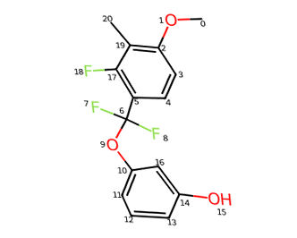 COc1ccc(C(F)(F)Oc2cccc(O)c2)c(F)c1C